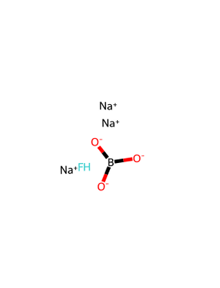 F.[Na+].[Na+].[Na+].[O-]B([O-])[O-]